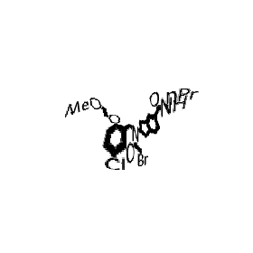 CCCNC(=O)c1ccc2c(c1)CC(N(Cc1cc(Cl)ccc1OCCOC)C(=O)CBr)C2